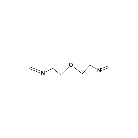 C=NCCOCCN=C